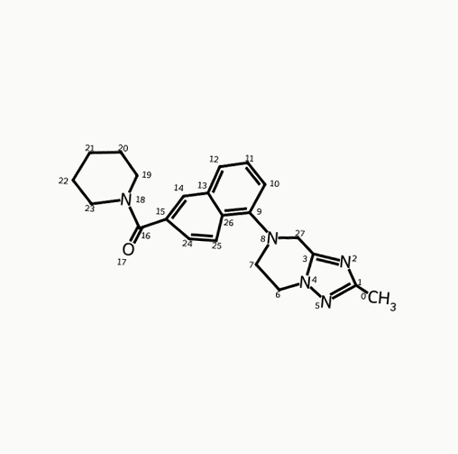 Cc1nc2n(n1)CCN(c1cccc3cc(C(=O)N4CCCCC4)ccc13)C2